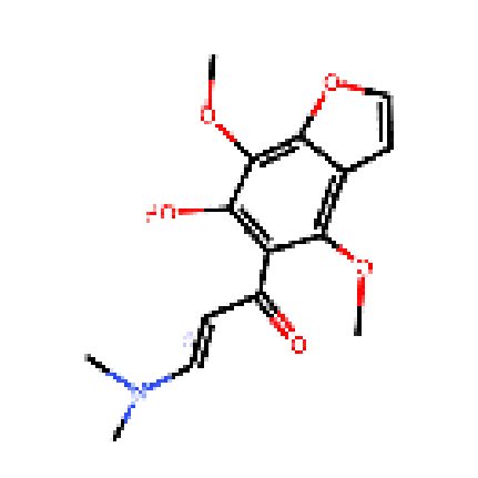 COc1c(C(=O)/C=C/N(C)C)c(O)c(OC)c2occc12